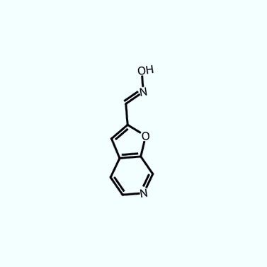 O/N=C/c1cc2ccncc2o1